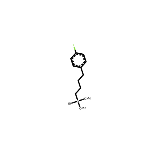 CC[Si](CCCCc1ccc(F)cc1)(OC)OC